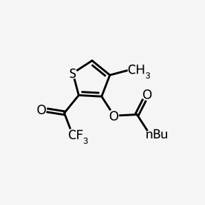 CCCCC(=O)Oc1c(C)csc1C(=O)C(F)(F)F